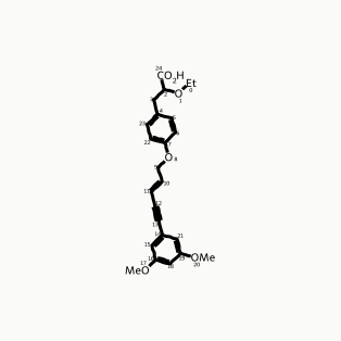 CCOC(Cc1ccc(OCC=CC#Cc2cc(OC)cc(OC)c2)cc1)C(=O)O